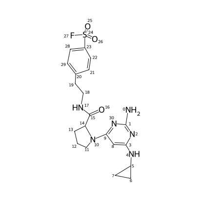 Nc1nc(NC2CC2)cc(N2CCCC2C(=O)NCCc2ccc(S(=O)(=O)F)cc2)n1